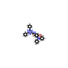 c1ccc(-c2nc(-c3ccccc3)nc(-c3nc4cc5c(cc4s3)N(c3ccccc3)c3ccccc3O5)n2)cc1